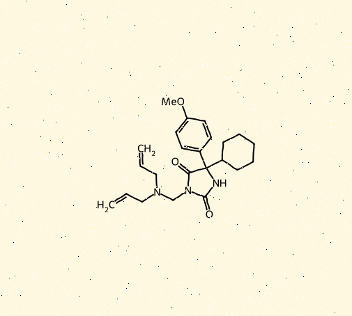 C=CCN(CC=C)CN1C(=O)NC(c2ccc(OC)cc2)(C2CCCCC2)C1=O